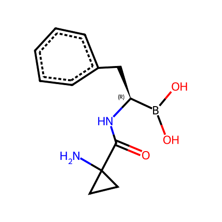 NC1(C(=O)N[C@@H](Cc2ccccc2)B(O)O)CC1